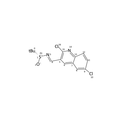 CC(C)(C)[S@@+]([O-])N=Cc1cc2cc(Cl)ccc2nc1Cl